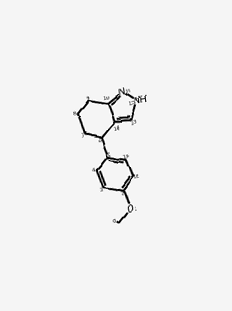 COc1ccc(C2CCCc3n[nH]cc32)cc1